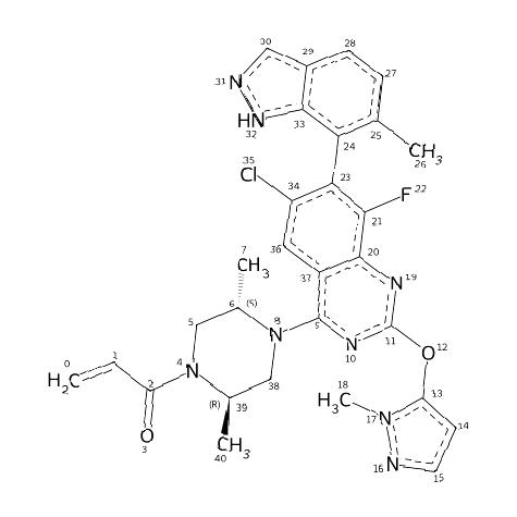 C=CC(=O)N1C[C@H](C)N(c2nc(Oc3ccnn3C)nc3c(F)c(-c4c(C)ccc5cn[nH]c45)c(Cl)cc23)C[C@H]1C